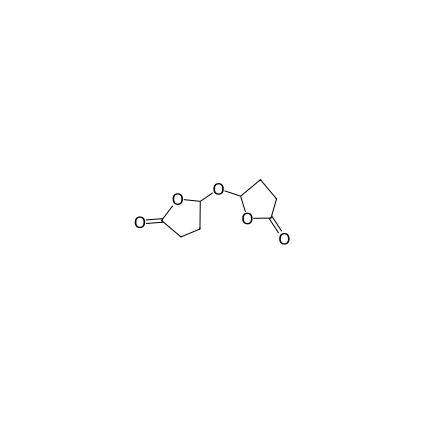 O=C1CCC(OC2CCC(=O)O2)O1